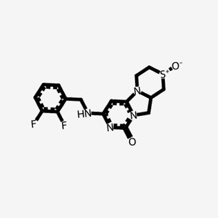 O=c1nc(NCc2cccc(F)c2F)cc2n1CC1C[S+]([O-])CCN21